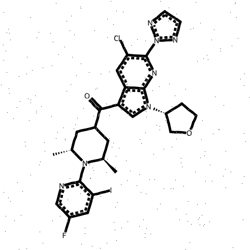 C[C@@H]1CC(C(=O)c2cn([C@@H]3CCOC3)c3nc(-n4nccn4)c(Cl)cc23)C[C@@H](C)N1c1ncc(F)cc1I